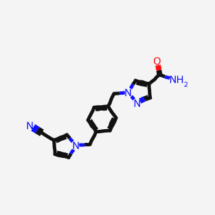 N#Cc1ccn(Cc2ccc(Cn3cc(C(N)=O)cn3)cc2)c1